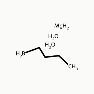 BCCCC.O.O.[MgH2]